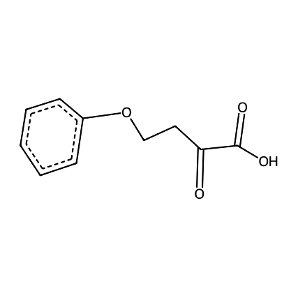 O=C(O)C(=O)CCOc1ccccc1